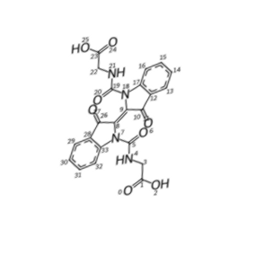 O=C(O)CNC(=O)N1/C(=C2\C(=O)c3ccccc3N2C(=O)NCC(=O)O)C(=O)c2ccccc21